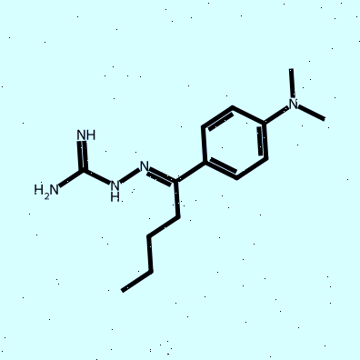 CCCC/C(=N\NC(=N)N)c1ccc(N(C)C)cc1